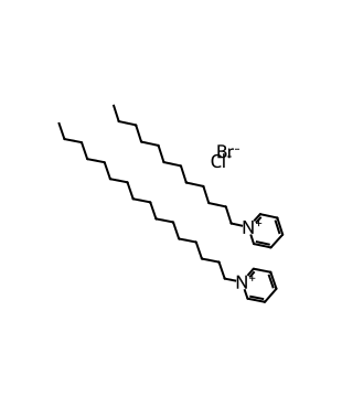 CCCCCCCCCCCCCCCC[n+]1ccccc1.CCCCCCCCCCCC[n+]1ccccc1.[Br-].[Cl-]